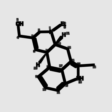 CCN1CC(CO)=C[C@@H]2c3cccc4[nH]c(C)c(c34)C[C@H]21